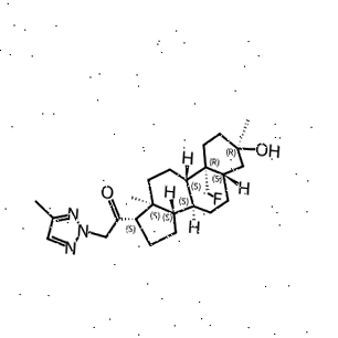 Cc1cnn(CC(=O)[C@H]2CC[C@H]3[C@@H]4CC[C@H]5C[C@](C)(O)CC[C@]5(CF)[C@H]4CC[C@]23C)n1